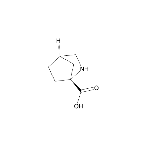 O=C(O)[C@]12CC[C@@H](CN1)C2